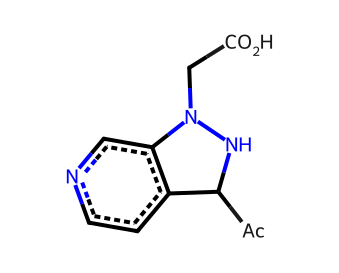 CC(=O)C1NN(CC(=O)O)c2cnccc21